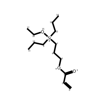 C=CC(=O)OCCC[Si](CCC)(CCC)OCC